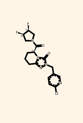 O=C([C@@H]1CCCc2nn(Cc3ccc(Cl)nc3)c(=O)n21)N1C[C@@H](F)[C@@H](F)C1